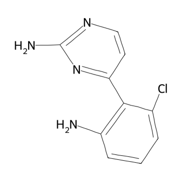 Nc1nccc(-c2c(N)cccc2Cl)n1